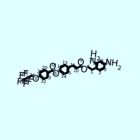 Nc1ccc(CCOC(=O)/C=C/c2ccc(OC(=O)c3ccc(OCC(F)(F)C(F)(F)F)cc3)cc2)c(N)c1